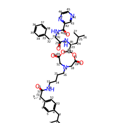 CC(C)Cc1ccc([C@H](C)C(=O)NCCCCN2CC(=O)OB([C@H](CC(C)C)NC(=O)[C@H](Cc3ccccc3)NC(=O)c3cnccn3)OC(=O)C2)cc1